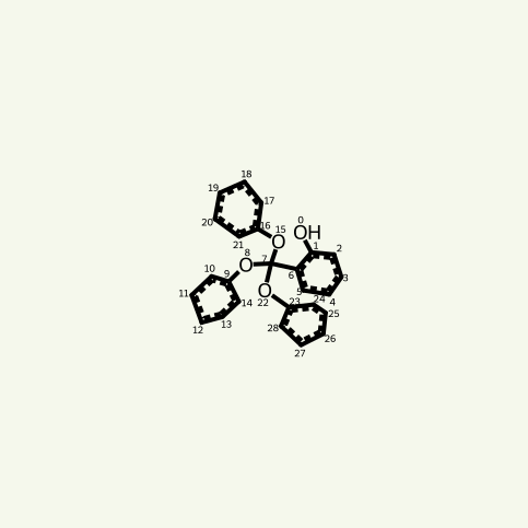 Oc1ccccc1C(Oc1ccccc1)(Oc1ccccc1)Oc1ccccc1